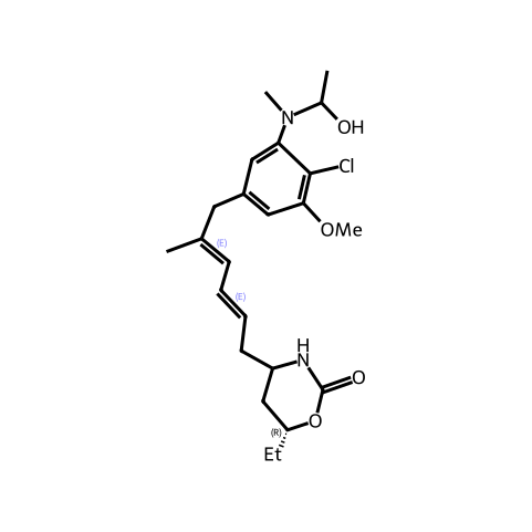 CC[C@@H]1CC(C/C=C/C=C(\C)Cc2cc(OC)c(Cl)c(N(C)C(C)O)c2)NC(=O)O1